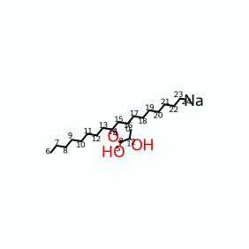 CC(O)C(=O)O.CCCCCCCCCCCCCCCCC[CH2][Na]